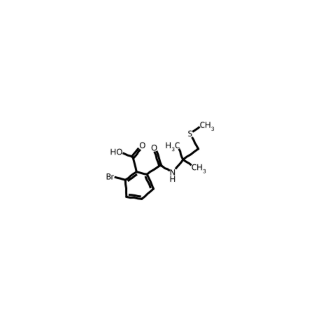 CSCC(C)(C)NC(=O)c1cccc(Br)c1C(=O)O